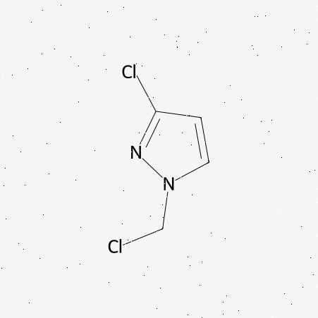 ClCn1ccc(Cl)n1